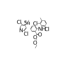 CCOCOC(=O)c1ccccc1Nc1c(Cl)ccc(C)c1Cl.[CH3][Sn]([CH3])([CH3])[c]1cc(Cl)ncc1Cl